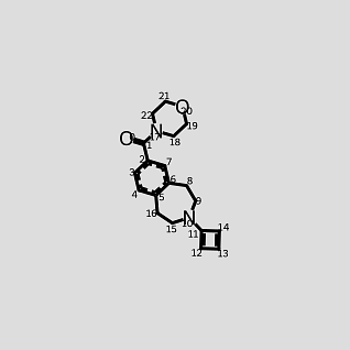 O=C(c1ccc2c(c1)CCN(C1=CC=C1)CC2)N1CCOCC1